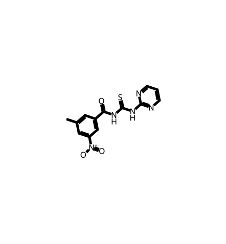 Cc1cc(C(=O)NC(=S)Nc2ncccn2)cc([N+](=O)[O-])c1